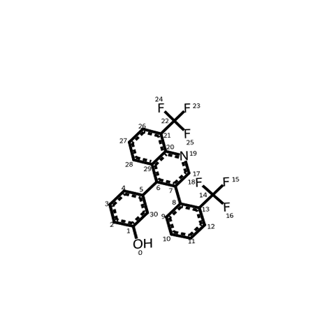 Oc1cccc(-c2c(-c3ccccc3C(F)(F)F)cnc3c(C(F)(F)F)cccc23)c1